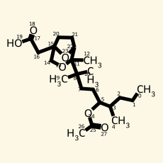 CCCC(C)C(CCC(C)(C)C1(C)OCC2(CC(=O)O)CCC1O2)OC(C)=O